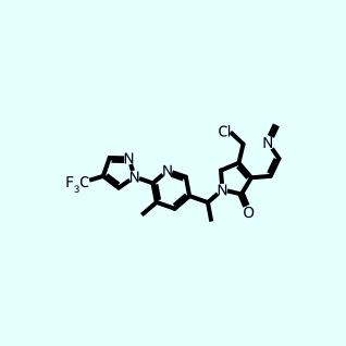 C=N/C=C\C1=C(CCl)CN(C(C)c2cnc(-n3cc(C(F)(F)F)cn3)c(C)c2)C1=O